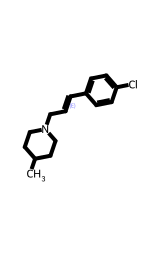 CC1CCN(C/C=C/c2ccc(Cl)cc2)CC1